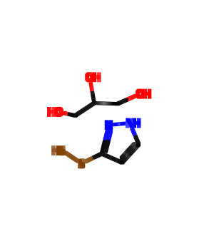 OCC(O)CO.SSc1cc[nH]n1